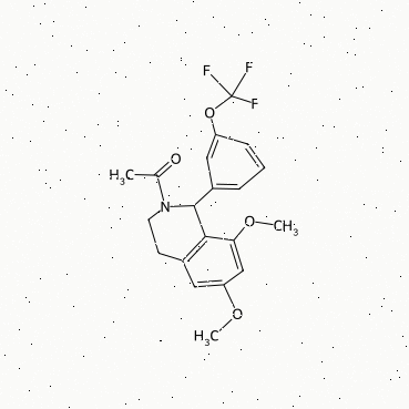 COc1cc2c(c(OC)c1)C(c1cccc(OC(F)(F)F)c1)N(C(C)=O)CC2